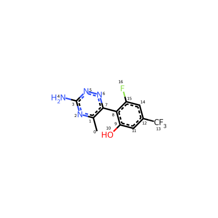 Cc1nc(N)nnc1-c1c(O)cc(C(F)(F)F)cc1F